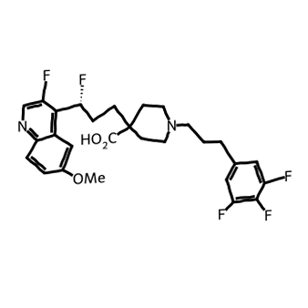 COc1ccc2ncc(F)c([C@H](F)CCC3(C(=O)O)CCN(CCCc4cc(F)c(F)c(F)c4)CC3)c2c1